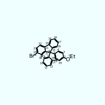 CCOc1ccc(C2(c3c(F)cccc3F)c3ccccc3-c3ccc(Br)cc32)cc1